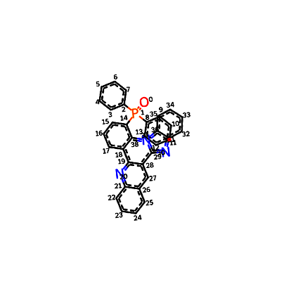 O=P(c1ccccc1)(c1ccccc1)c1cccc2c3nc4ccccc4cc3c3nc4ccccc4n3c12